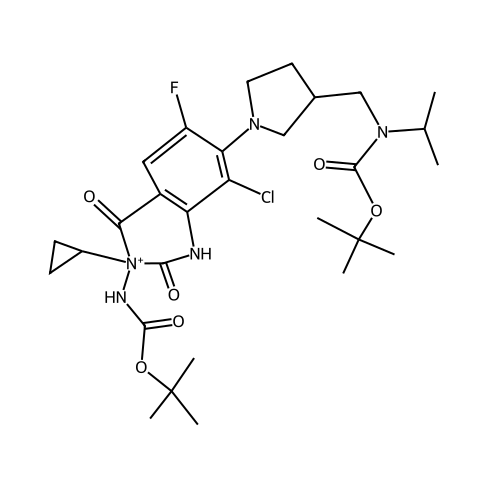 CC(C)N(CC1CCN(c2c(F)cc3c(c2Cl)NC(=O)[N+](NC(=O)OC(C)(C)C)(C2CC2)C3=O)C1)C(=O)OC(C)(C)C